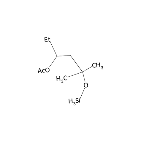 CCC(CC(C)(C)O[SiH3])OC(C)=O